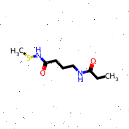 CCC(=O)NCCCC(=O)NSC